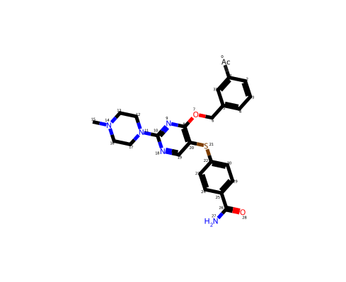 CC(=O)c1cccc(COc2nc(N3CCN(C)CC3)ncc2Sc2ccc(C(N)=O)cc2)c1